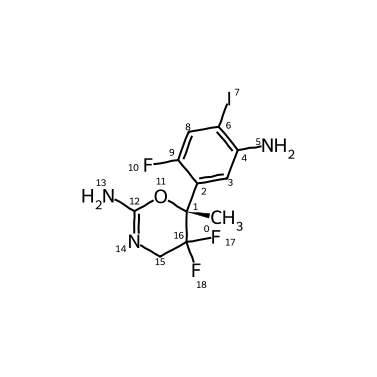 C[C@]1(c2cc(N)c(I)cc2F)OC(N)=NCC1(F)F